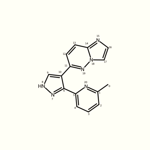 Cc1cccc(-c2n[nH]cc2-c2ccc3nccn3n2)n1